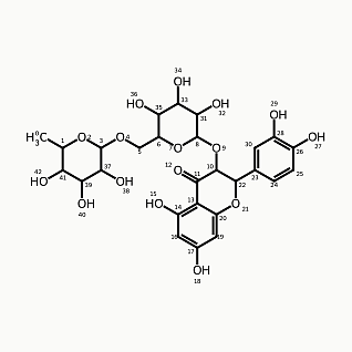 CC1OC(OCC2OC(OC3C(=O)c4c(O)cc(O)cc4OC3c3ccc(O)c(O)c3)C(O)C(O)C2O)C(O)C(O)C1O